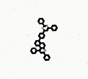 C1=CCCC(c2cc(-c3ccccc3)nc3ccc4c(-c5ccc(-c6cc(-c7ccccc7)nc(C7C=CC=CC7)n6)cc5)cccc4c23)=C1